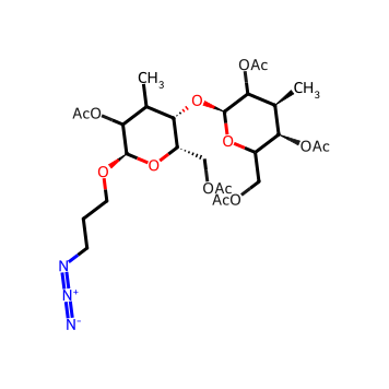 CC(=O)OCC1O[C@@H](O[C@H]2C(C)C(OC(C)=O)[C@H](OCCCN=[N+]=[N-])O[C@H]2COC(C)=O)C(OC(C)=O)[C@@H](C)[C@H]1OC(C)=O